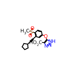 CS(=O)(=O)c1ccc(Oc2[nH]nnc2C(=O)O)cc1C#CC1CCCC1